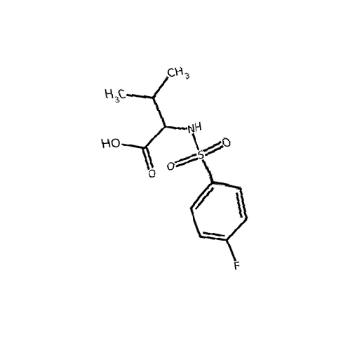 CC(C)C(NS(=O)(=O)c1ccc(F)cc1)C(=O)O